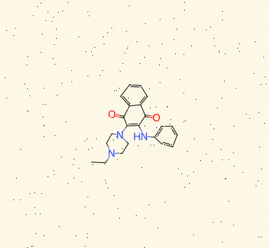 CCN1CCN(C2=C(Nc3ccccc3)C(=O)c3ccccc3C2=O)CC1